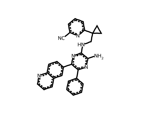 N#Cc1cccc(C2(CNc3nc(-c4ccc5ncccc5c4)c(-c4ccccc4)nc3N)CC2)n1